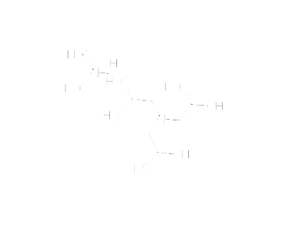 CC(C)[CH2][Al]([CH2]C(C)C)[CH2]C(C)C.[CH3][Al]([CH3])[CH3]